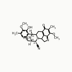 COC1=C(C)C(=O)C2=C3C1=NCC3N1C(C2)[C@H]2c3c(cc(C)c(OC)c3O)C[C@H]([C@@H]1C#N)N2C